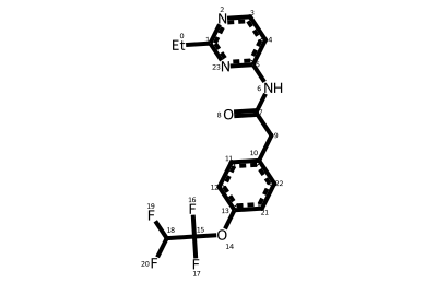 CCc1nccc(NC(=O)Cc2ccc(OC(F)(F)C(F)F)cc2)n1